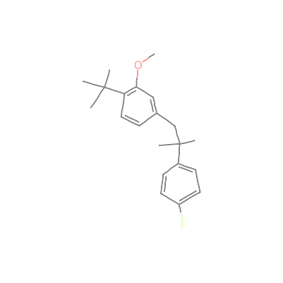 COc1cc(CC(C)(C)c2ccc(F)cc2)ccc1C(C)(C)C